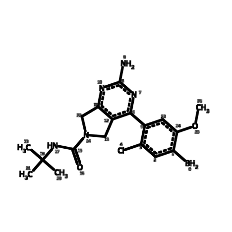 Bc1cc(Cl)c(-c2nc(N)nc3c2CN(C(=O)NC(C)(C)C)C3)cc1OC